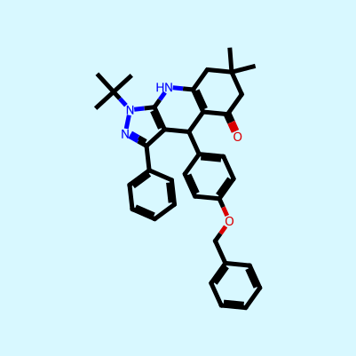 CC1(C)CC(=O)C2=C(C1)Nc1c(c(-c3ccccc3)nn1C(C)(C)C)C2c1ccc(OCc2ccccc2)cc1